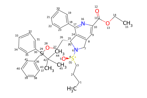 CCCC[S@@+]([O-])N1Cc2cc(C(=O)OCC)nc(-c3ccccc3)c2[C@H]1CCO[Si](c1ccccc1)(c1ccccc1)C(C)(C)C